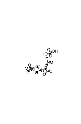 O=S(=O)(O)O.O=[N+]([O-])[O-].O=[N+]([O-])[O-].O=[N+]([O-])[O-].O=[N+]([O-])[O-].[Mo+4]